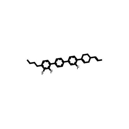 C/C=C/C1CC=C(c2ccc(-c3ccc(-c4ccc(CCCC)c(F)c4F)cc3)cc2F)CC1